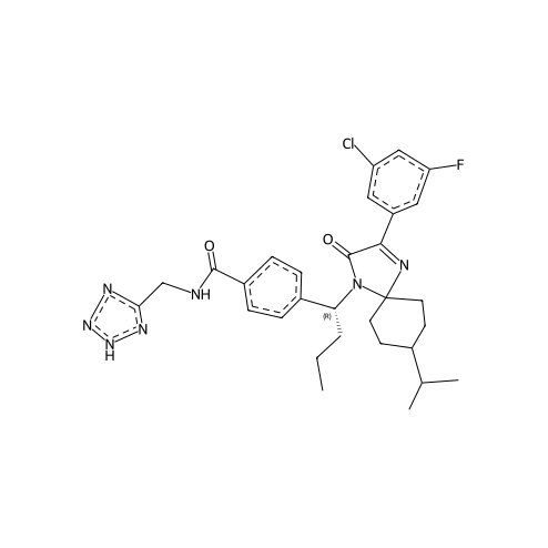 CCC[C@H](c1ccc(C(=O)NCc2nn[nH]n2)cc1)N1C(=O)C(c2cc(F)cc(Cl)c2)=NC12CCC(C(C)C)CC2